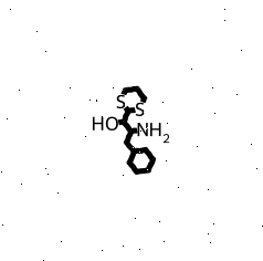 NC(CC1CCCCC1)C(O)C1SCCCS1